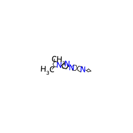 CC1CC(C)CN(c2ccc(N3CCC4(CC3)CCN(C3CCC3)CC4)nc2)C1